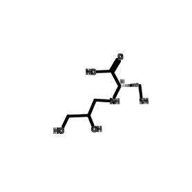 O=C(O)[C@H](CS)NCC(O)CO